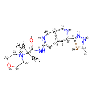 BC(B)(C(=O)Nc1cc2cc(-c3nnc(C)s3)ncc2cn1)N1CCOCC1